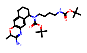 CC1Oc2cc3c(cc2N=C1N)C(N(CCCCNC(=O)OC(C)(C)C)C(=O)OC(C)(C)C)CCC3